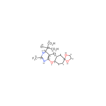 CCc1c(OC2CCC3(CC2)OCCO3)nc(C(F)(F)F)nc1C(CC)(C(=O)O)C(=O)O